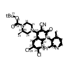 Cc1ccnc(C(C)C)c1-n1c(=O)c(C#N)c(N2CCN(C(=O)OC(C)(C)C)[C@H](C)C2)c2cc(Cl)c(Cl)nc21